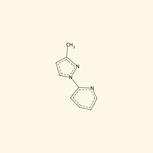 Cc1c[c]n(-c2ccccn2)n1